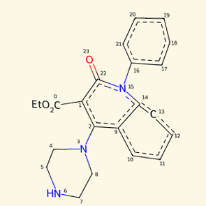 CCOC(=O)c1c(N2CCNCC2)c2ccccc2n(-c2ccccc2)c1=O